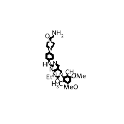 CCN1C(=O)N(c2c(C)c(OC)cc(OC)c2C)Cc2cnc(Nc3ccc(N4CCN(C(=O)CN)CC4)cc3)nc21